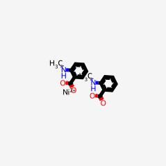 CNc1ccccc1C(=O)[O-].CNc1ccccc1C(=O)[O-].[Ni+2]